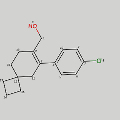 OCC1=C(c2ccc(Cl)cc2)CC2(CCC2)CC1